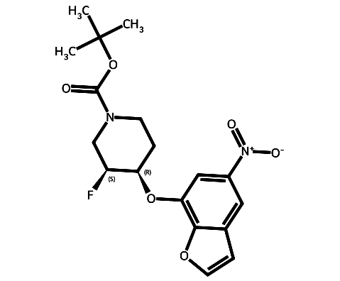 CC(C)(C)OC(=O)N1CC[C@@H](Oc2cc([N+](=O)[O-])cc3ccoc23)[C@@H](F)C1